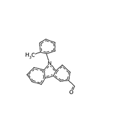 Cc1ccccc1-n1c2ccccc2c2cc(C=O)ccc21